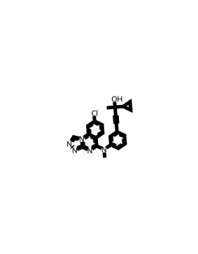 CN(c1cccc(C#CC(C)(O)C2CC2)c1)c1nc2nncn2c2cc(Cl)ccc12